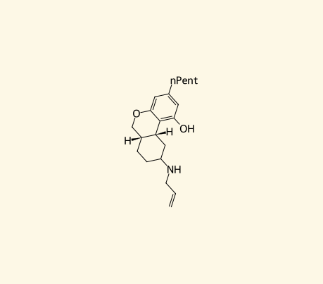 C=CCNC1CC[C@@H]2COc3cc(CCCCC)cc(O)c3[C@@H]2C1